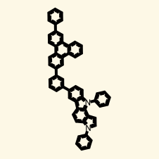 c1ccc(-c2ccc3c4ccc(-c5cccc(-c6ccc7c(c6)c6ccc8c(ccn8-c8ccccc8)c6n7-c6ccccc6)c5)cc4c4ccccc4c3c2)cc1